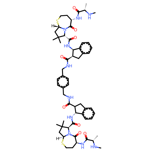 CN[C@@H](C)C(=O)N[C@H]1CCS[C@H]2CC(C)(C)[C@@H](C(=O)N[C@H]3c4ccccc4CC3C(=O)NCc3ccc(CNC(=O)[C@@H]4Cc5ccccc5[C@@H]4NC(=O)[C@H]4N5C(=O)[C@@H](NC(=O)[C@H](C)NC)CCS[C@H]5CC4(C)C)cc3)N2C1=O